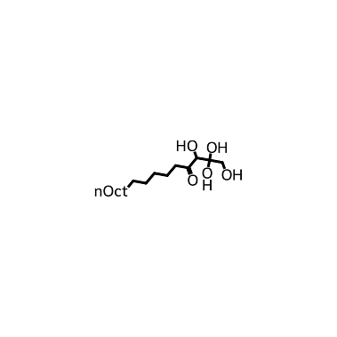 CCCCCCCCCCCCCC(=O)C(O)C(O)(O)CO